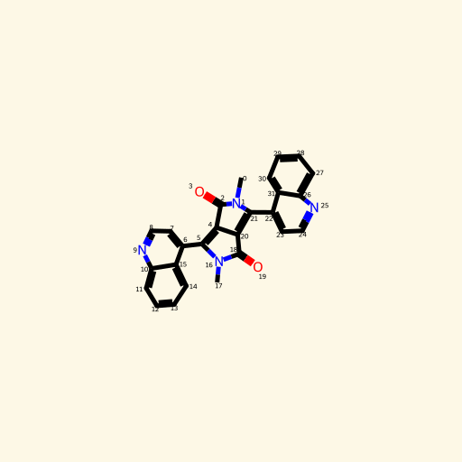 CN1C(=O)C2=C(c3ccnc4ccccc34)N(C)C(=O)C2=C1c1ccnc2ccccc12